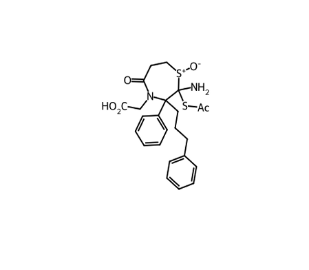 CC(=O)SC1(N)[S+]([O-])CCC(=O)N(CC(=O)O)C1(CCCc1ccccc1)c1ccccc1